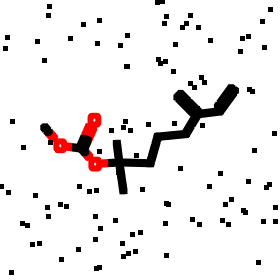 C=CC(=C)CCCC(C)(C)OC(=O)OC